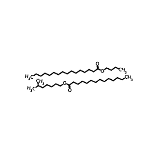 CCCCCCCCCCCCCC(=O)OCCCCCC(C)C.CCCCCCCCCCCCCCCC(=O)OCCCC